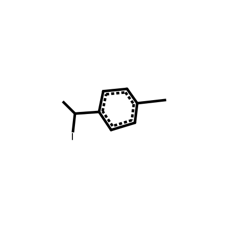 Cc1ccc(C(C)I)cc1